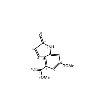 COC(=O)c1cc(OC)cc2[nH]c(=O)ccc12